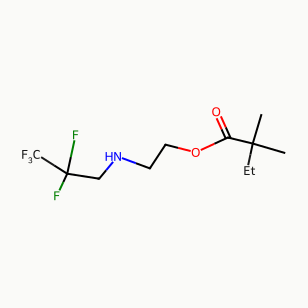 CCC(C)(C)C(=O)OCCNCC(F)(F)C(F)(F)F